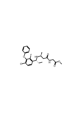 CC[C@@H](N[C@@H](C)CC(=O)NCC(=O)OC)c1ccc(Cl)c(Oc2ccccc2)c1F